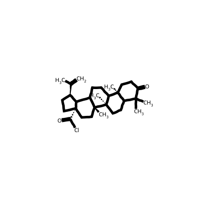 C=C(C)[C@@H]1CC[C@]2(C(=O)Cl)CC[C@]3(C)C(CCC4[C@@]5(C)CCC(=O)C(C)(C)C5CC[C@]43C)C12